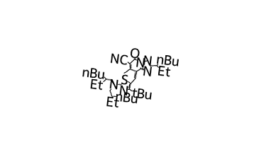 CCCCC(CC)CN(CC(CC)CCCC)c1nc(C(C)(C)C)c(/C=c2\c(C)c(C#N)c(=O)n3nc(C(CC)CCCC)nc23)s1